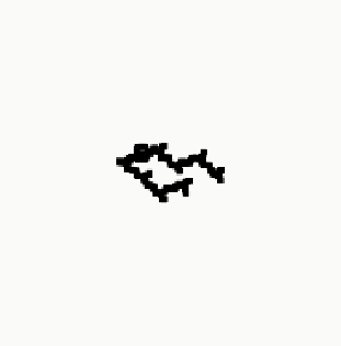 CC(=CCOCC=C(C)CCCC(C)CCCC(C)CCCC(C)C)CCCC(C)CCCC(C)CCCC(C)C